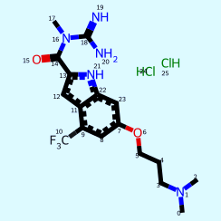 CN(C)CCCOc1cc(C(F)(F)F)c2cc(C(=O)N(C)C(=N)N)[nH]c2c1.Cl.Cl